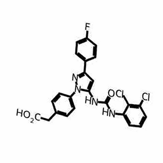 O=C(O)Cc1ccc(-n2nc(-c3ccc(F)cc3)cc2NC(=O)Nc2cccc(Cl)c2Cl)cc1